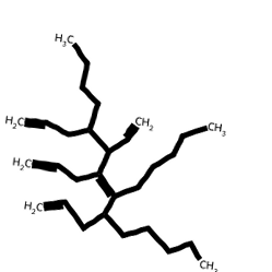 C=CC[C](CCCCC)C(CCCCC)=C(CC=C)C(C=C)C(CC=C)CCCC